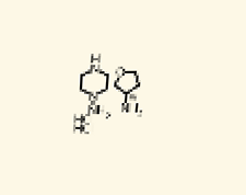 Cl.Cl.NN1CCNCC1.N[C@@H]1CCOC1